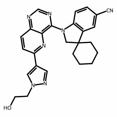 N#Cc1ccc2c(c1)C1(CCCCC1)CN2c1ncnc2ccc(-c3cnn(CCO)c3)nc12